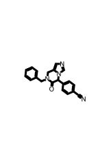 N#Cc1ccc(C2C(=O)N(Cc3ccccc3)Cc3cncn32)cc1